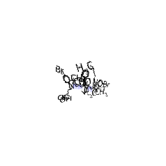 CCCCC[N+]1=C(/C=C/C2=C(S(=O)(=O)c3ccccc3)C(=C/C=C3/N(CCCCS(=O)(=O)O)c4ccc(Br)cc4C3(C)C)/CCC2)C(C)(C)c2cc(Br)ccc21